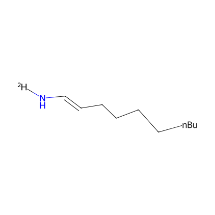 [2H]NC=CCCCCCCCC